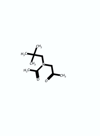 CC(=O)CN(CC(C)(C)C)C(C)=O